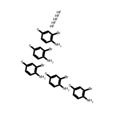 F.F.F.F.F.Nc1ccc([S])cc1Br.Nc1ccc([S])cc1Br.Nc1ccc([S])cc1Br.Nc1ccc([S])cc1Br.Nc1ccc([S])cc1Br